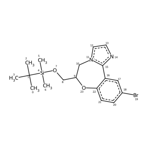 CC(C)(C)[Si](C)(C)OCC1Cn2ccnc2-c2cc(Br)ccc2O1